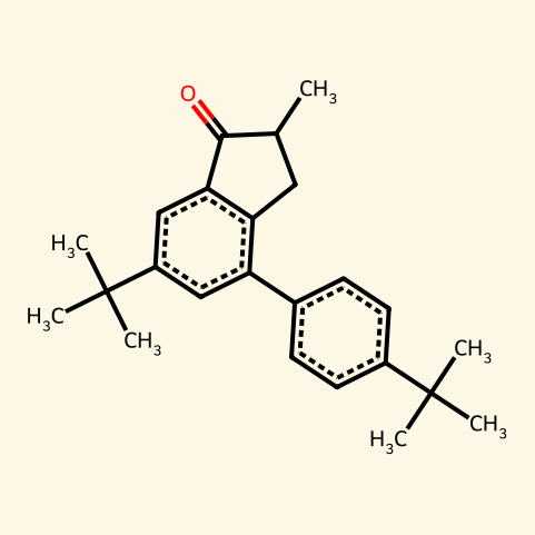 CC1Cc2c(cc(C(C)(C)C)cc2-c2ccc(C(C)(C)C)cc2)C1=O